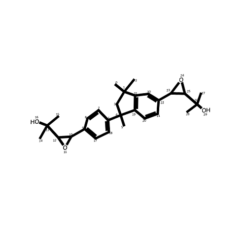 CC1(C)CC(C)(c2ccc(C3OC3C(C)(C)O)cc2)c2ccc(C3OC3C(C)(C)O)cc21